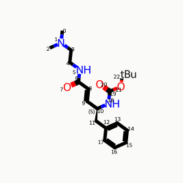 CN(C)CCNC(=O)C=C[C@H](Cc1ccccc1)NC(=O)OC(C)(C)C